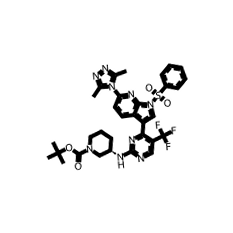 Cc1nnc(C)n1-c1ccc2c(-c3nc(N[C@H]4CCCN(C(=O)OC(C)(C)C)C4)ncc3C(F)(F)F)cn(S(=O)(=O)c3ccccc3)c2n1